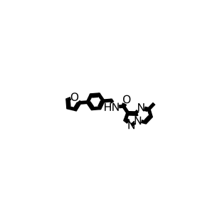 Cc1ccn2ncc(C(=O)NCc3ccc(-c4ccco4)cc3)c2n1